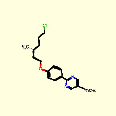 CCCCCCCCCCc1cnc(-c2ccc(OCC[C@H](C)CCCCl)cc2)nc1